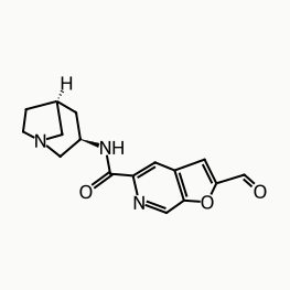 O=Cc1cc2cc(C(=O)N[C@@H]3C[C@@H]4CCN(C4)C3)ncc2o1